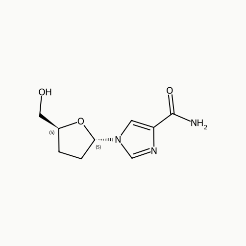 NC(=O)c1cn([C@@H]2CC[C@@H](CO)O2)cn1